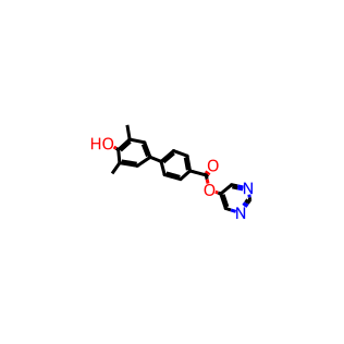 Cc1cc(-c2ccc(C(=O)Oc3cncnc3)cc2)cc(C)c1O